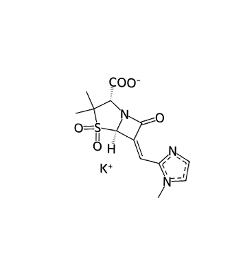 Cn1ccnc1/C=C1\C(=O)N2[C@@H](C(=O)[O-])C(C)(C)S(=O)(=O)[C@H]12.[K+]